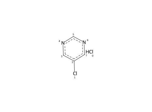 Cl.Clc1cncnc1